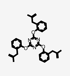 C=C(C)Cc1ccccc1Oc1nc(Oc2ccccc2CC(=C)C)nc(Oc2ccccc2CC(=C)C)n1